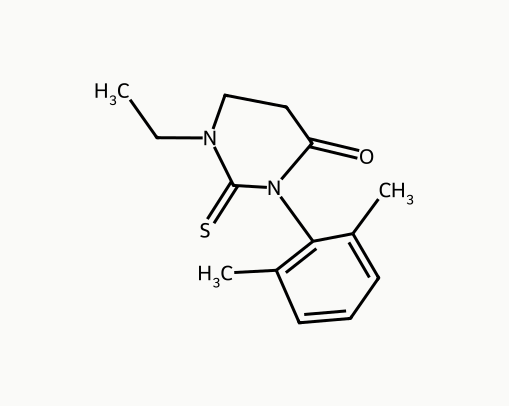 CCN1CCC(=O)N(c2c(C)cccc2C)C1=S